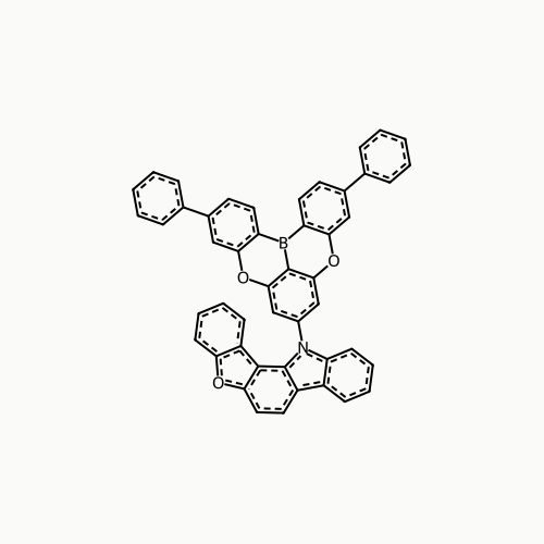 c1ccc(-c2ccc3c(c2)Oc2cc(-n4c5ccccc5c5ccc6oc7ccccc7c6c54)cc4c2B3c2ccc(-c3ccccc3)cc2O4)cc1